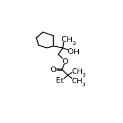 CCC(C)(C)C(=O)OCC(C)(O)C1CCCCC1